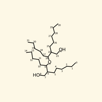 CCCCCCC(CO)C(CCCCC)OC(CCCCC)C(CO)CCCCCC